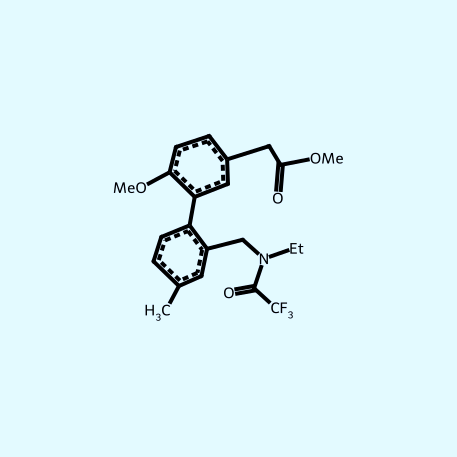 CCN(Cc1cc(C)ccc1-c1cc(CC(=O)OC)ccc1OC)C(=O)C(F)(F)F